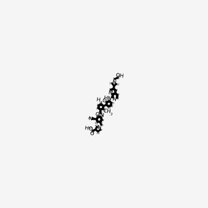 Cc1c(Nc2nccc3cc(C4CN(CCO)C4)cnc23)cccc1-c1cccc(-c2nc3cc(CN4CCC(C(=O)O)C4)cc(C#N)c3o2)c1C